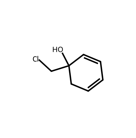 OC1(CCl)C=CC=CC1